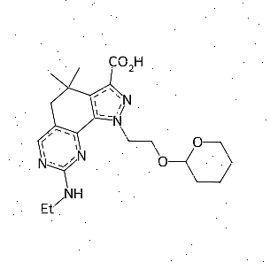 CCNc1ncc2c(n1)-c1c(c(C(=O)O)nn1CCOC1CCCCO1)C(C)(C)C2